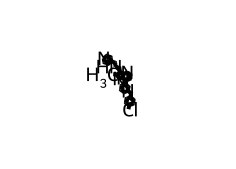 Cc1nn2c(C3CCCN(Cc4ccc(Cl)cc4)C3)ccnc2c1CNCc1ccncc1